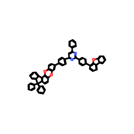 c1ccc(-c2cc(-c3ccc(-c4ccc5c(c4)Oc4ccc6c(c4O5)-c4ccccc4C6(c4ccccc4)c4ccccc4)cc3)nc(-c3ccc(-c4cccc5c4oc4ccccc45)cc3)n2)cc1